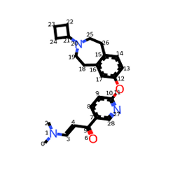 CN(C)C=CC(=O)c1ccc(Oc2ccc3c(c2)CCN(C2CCC2)CC3)nc1